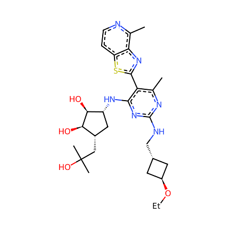 CCO[C@H]1C[C@H](CNc2nc(C)c(-c3nc4c(C)nccc4s3)c(N[C@@H]3C[C@H](CC(C)(C)O)[C@@H](O)[C@H]3O)n2)C1